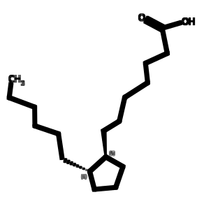 CCCCCC[C@H]1CCC[C@@H]1CCCCCCC(=O)O